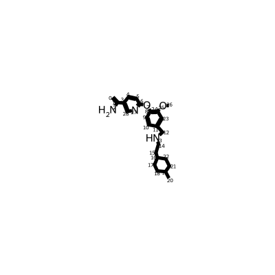 C=C(N)c1ccc(Oc2ccc(CNCCC3CCC(C)CC3)cc2OC)nc1